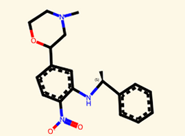 C[C@H](Nc1cc(C2CN(C)CCO2)ccc1[N+](=O)[O-])c1ccccc1